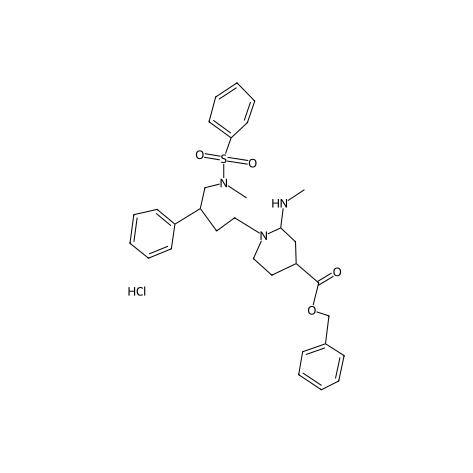 CNC1CC(C(=O)OCc2ccccc2)CCN1CCC(CN(C)S(=O)(=O)c1ccccc1)c1ccccc1.Cl